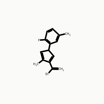 C=C(CC)C1=CC(c2cc(C)ccc2F)C=C1C